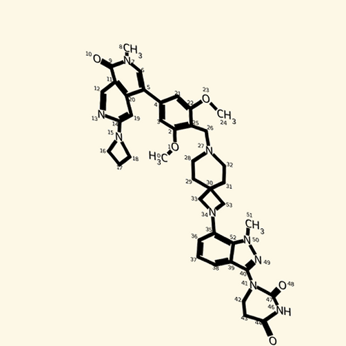 COc1cc(-c2cn(C)c(=O)c3cnc(N4CCC4)cc23)cc(OC)c1CN1CCC2(CC1)CN(c1cccc3c(N4CCC(=O)NC4=O)nn(C)c13)C2